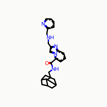 O=C(NCC12CC3CC(CC(C3)C1)C2)c1cccc2nc(CNCc3ccccn3)cn12